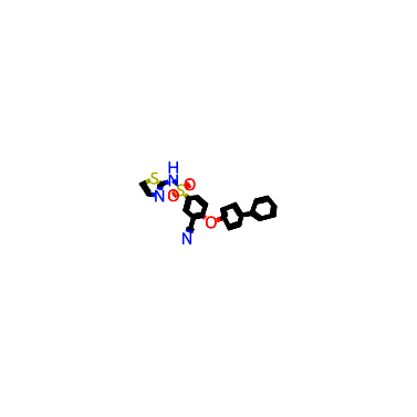 N#Cc1cc(S(=O)(=O)Nc2nccs2)ccc1Oc1ccc(-c2ccccc2)cc1